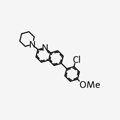 COc1ccc(-c2ccc3nc(N4CCCCC4)ccc3c2)c(Cl)c1